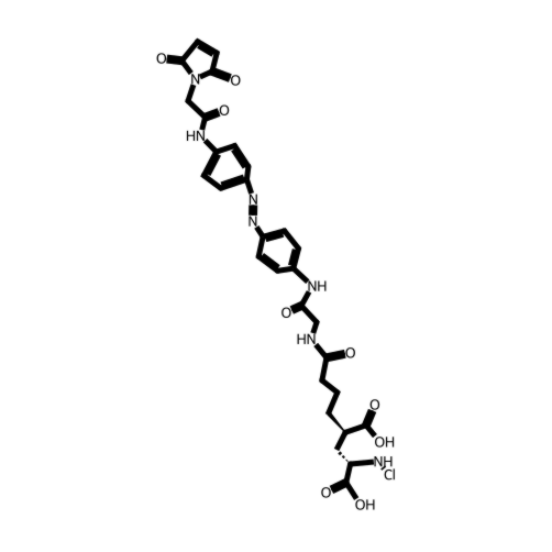 O=C(CCC[C@H](C[C@H](NCl)C(=O)O)C(=O)O)NCC(=O)Nc1ccc(/N=N/c2ccc(NC(=O)CN3C(=O)C=CC3=O)cc2)cc1